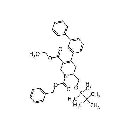 CCOC(=O)C1=C(c2cccc(-c3ccccc3)c2)CC(CO[Si](C)(C)C(C)(C)C)N(C(=O)OCc2ccccc2)C1